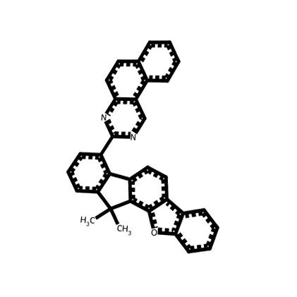 CC1(C)c2cccc(-c3ncc4c(ccc5ccccc54)n3)c2-c2ccc3c(oc4ccccc43)c21